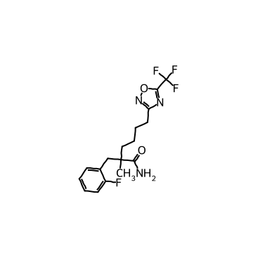 CC(CCCCc1noc(C(F)(F)F)n1)(Cc1ccccc1F)C(N)=O